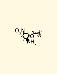 Nc1ccc([N+](=O)[O-])cc1OCC1CO1